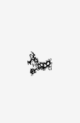 C=CC(=O)N1CCN(C2NC(OCC3CCCN3C)NC3C(=O)[C@]4(CCc5c(Cl)cccc5C4)CCC32)CC1CC#N